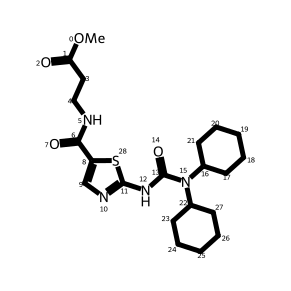 COC(=O)CCNC(=O)c1cnc(NC(=O)N(C2CCCCC2)C2CCCCC2)s1